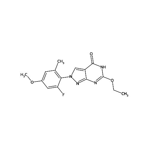 CCOc1nc2nn(-c3c(C)cc(OC)cc3F)cc2c(=O)[nH]1